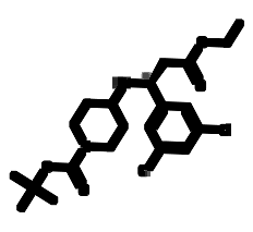 CCOC(=O)C[C@H](NC1CCN(C(=O)OC(C)(C)C)CC1)c1cc(Cl)cc(Cl)c1